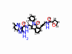 Cc1ccc2nc(N)c(C(=O)N[C@@H](C)c3cc4cccc(C#CCNC(=O)[C@H]5CCCO5)c4c(=O)n3-c3ccccc3)n2n1